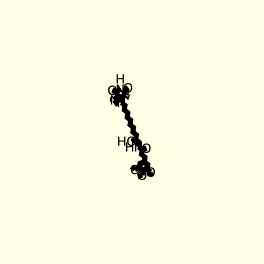 COc1cc(CCC(=O)NCC(O)CCCCCCCCCN2CN(C)c3c2n(C)c(=O)[nH]c3=O)cc(OC)c1OC